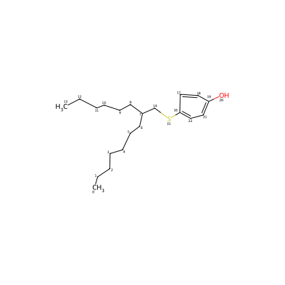 CCCCCCCC(CCCCCC)CSc1ccc(O)cc1